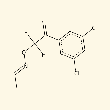 C=C(c1cc(Cl)cc(Cl)c1)C(F)(F)ON=CC